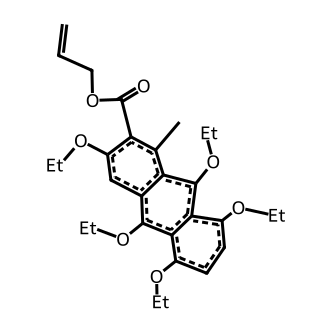 C=CCOC(=O)c1c(OCC)cc2c(OCC)c3c(OCC)ccc(OCC)c3c(OCC)c2c1C